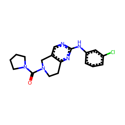 O=C(N1CCCC1)N1CCc2nc(Nc3cccc(Cl)c3)ncc2C1